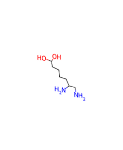 NCC(N)CCCCC(O)O